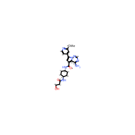 COc1cc(-c2cc(C(=O)N[C@H]3CC[C@H](NC(=O)CCO)CC3)c3c(N)ncnn23)ccn1